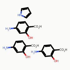 Nc1ccc(C(=O)O)c(O)c1.Nc1ccc(C(=O)O)c(O)c1.Nc1ccc(C(=O)O)c(O)c1.c1cc[nH]c1